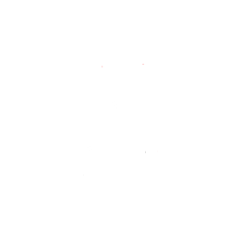 C=C(C)CC/C(=C\c1ccc(O)c(O)c1)C(=O)O